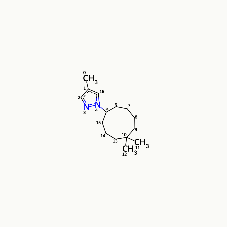 Cc1cnn(C2CCCCC(C)(C)CCC2)c1